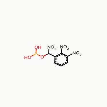 O=[N+]([O-])c1cccc(C(OP(O)O)[N+](=O)[O-])c1[N+](=O)[O-]